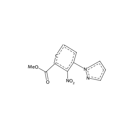 COC(=O)c1cccc(-n2cccn2)c1[N+](=O)[O-]